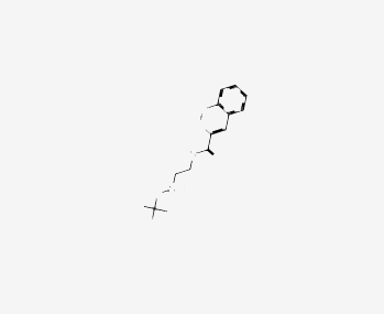 O=C(NCCNSC(F)(F)F)C1=Cc2ccccc2OO1